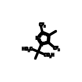 Cc1c(C(F)(F)F)nn(C(C)(C(=O)O)C(=O)O)c1C(F)(F)F